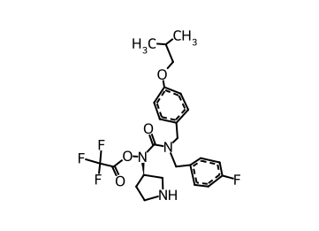 CC(C)COc1ccc(CN(Cc2ccc(F)cc2)C(=O)N(OC(=O)C(F)(F)F)[C@@H]2CCNC2)cc1